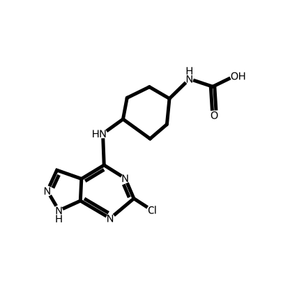 O=C(O)NC1CCC(Nc2nc(Cl)nc3[nH]ncc23)CC1